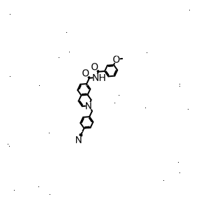 COc1cccc(C(=O)NC(=O)c2ccc3c(c2)CN(Cc2ccc(C#N)cc2)C=C3)c1